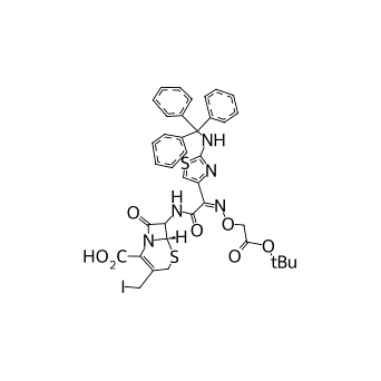 CC(C)(C)OC(=O)CO/N=C(\C(=O)NC1C(=O)N2C(C(=O)O)=C(CI)CS[C@@H]12)c1csc(NC(c2ccccc2)(c2ccccc2)c2ccccc2)n1